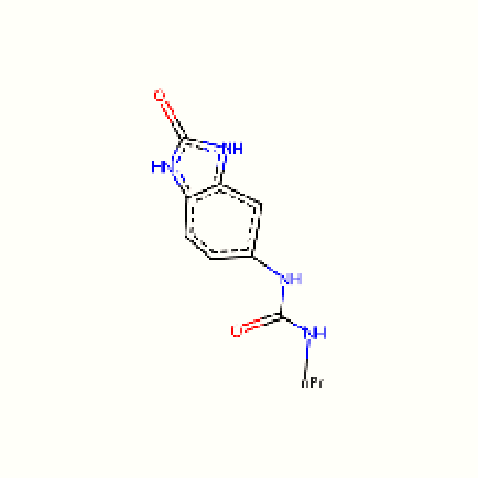 CCCNC(=O)Nc1ccc2[nH]c(=O)[nH]c2c1